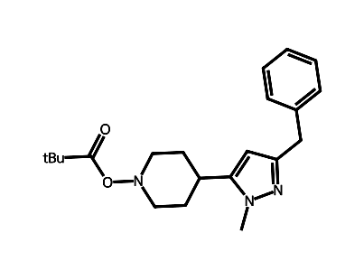 Cn1nc(Cc2ccccc2)cc1C1CCN(OC(=O)C(C)(C)C)CC1